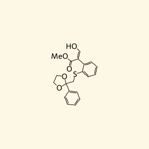 COC(=O)C(=CO)c1ccccc1SCC1(c2ccccc2)OCCO1